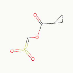 O=C(OC=S(=O)=O)C1CC1